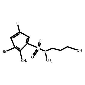 Cc1c(Br)cc(F)cc1S(=O)(=O)N(C)CCCO